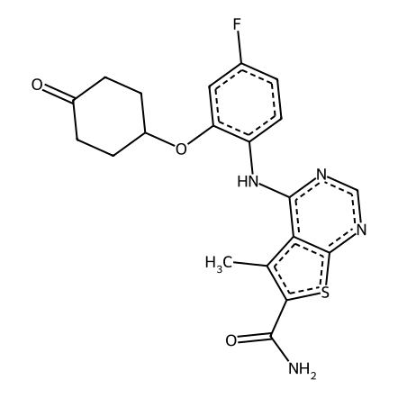 Cc1c(C(N)=O)sc2ncnc(Nc3ccc(F)cc3OC3CCC(=O)CC3)c12